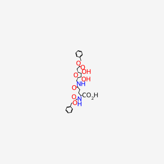 O=C(CC[C@H](NC(=O)OCc1ccccc1)C(=O)O)NC[C@H]1O[C@@H](CC(=O)OCc2ccccc2)[C@H](O)[C@@H]1O